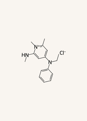 CCN(c1ccccc1)c1cc(C)[n+](C)c(NC)c1.[Cl-]